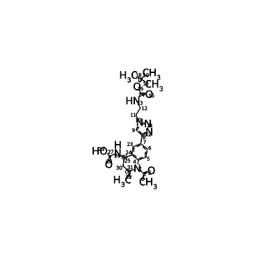 CC(=O)N1c2ccc(-c3cn(CCNC(=O)OC(C)(C)C)nn3)cc2[C@H](NC(=O)O)C[C@@H]1C